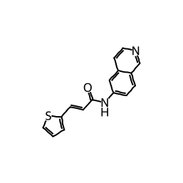 O=C(/C=C/c1cccs1)Nc1ccc2cnccc2c1